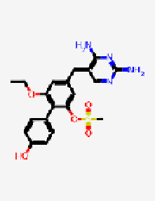 CCOc1cc(Cc2cnc(N)nc2N)cc(OS(C)(=O)=O)c1-c1ccc(O)cc1